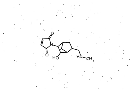 CNCC1CC2CC1C(O)C2N1C(=O)C=CC1=O